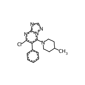 CC1CCN(c2c(-c3ccccc3)c(Cl)nc3ncnn23)CC1